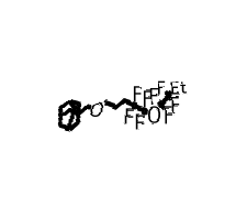 CCC(F)(F)C(F)(F)OC(F)(F)C(F)(F)CCCOCC12CC3CC(CC(C3)C1)C2